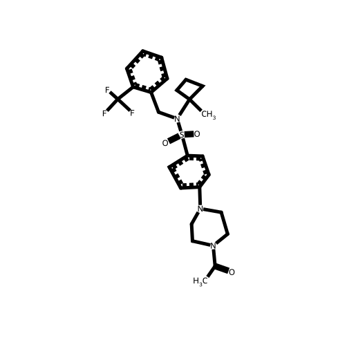 CC(=O)N1CCN(c2ccc(S(=O)(=O)N(Cc3ccccc3C(F)(F)F)C3(C)CCC3)cc2)CC1